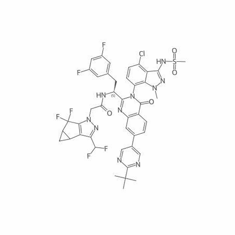 Cn1nc(NS(C)(=O)=O)c2c(Cl)ccc(-n3c([C@H](Cc4cc(F)cc(F)c4)NC(=O)Cn4nc(C(F)F)c5c4C(F)(F)C4CC54)nc4cc(-c5cnc(C(C)(C)C)nc5)ccc4c3=O)c21